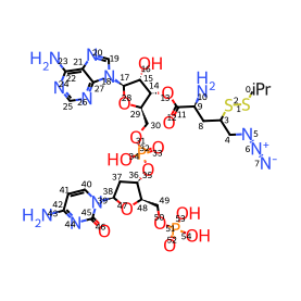 CC(C)SSC(CN=[N+]=[N-])C[C@H](N)C(=O)O[C@H]1[C@@H](O)[C@H](n2cnc3c(N)ncnc32)O[C@@H]1COP(=O)(O)O[C@H]1C[C@H](n2ccc(N)nc2=O)O[C@@H]1COP(=O)(O)O